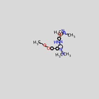 CCCCOCCOc1ccc(-c2ccc3c(c2)/C=C(/c2nc4cc([S+]([O-])Cc5c(C)ncn5CCC)ccc4[nH]2)CCCN3CCN(C)C)cc1